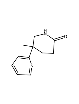 CC1(c2ccccn2)CCC(=O)NC1